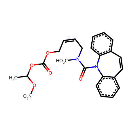 CC(OC(=O)OC/C=C\CN(C(=O)O)C(=O)N1c2ccccc2C=Cc2ccccc21)O[N+](=O)[O-]